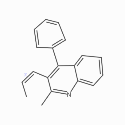 C/C=C\c1c(C)nc2ccccc2c1-c1ccccc1